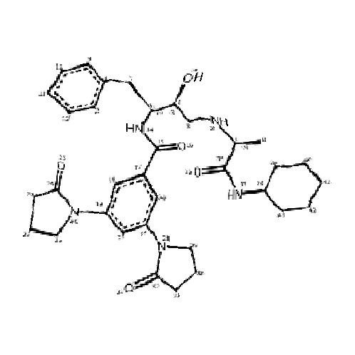 C[C@H](NC[C@H](O)[C@H](Cc1ccccc1)NC(=O)c1cc(N2CCCC2=O)cc(N2CCCC2=O)c1)C(=O)NC1CCCCC1